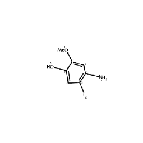 COc1cc(N)c(F)cc1O